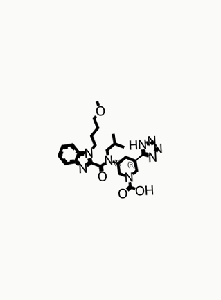 COCCCCn1c(C(=O)N(CC(C)C)[C@H]2C[C@@H](c3nnn[nH]3)CN(C(=O)O)C2)nc2ccccc21